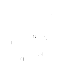 CC(C)c1ncn(-c2ccccc2)n1